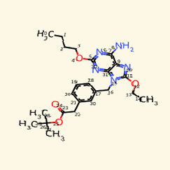 CCCCOc1nc(N)c2nc(OCC)n(Cc3cccc(CC(=O)OC(C)(C)C)c3)c2n1